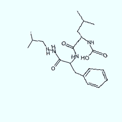 CC(C)CNNC(=O)C(Cc1ccccc1)NC(=O)C(CC(C)C)NC(=O)O